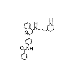 O=C(Nc1ccc(-c2cc(NCCCC3CCCNC3)c3ccccc3n2)cc1)c1ccccc1